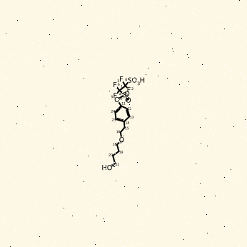 O=S(=O)(O)C(F)(F)C(F)(F)S(=O)(=O)Oc1ccc(CCOCCCCO)cc1